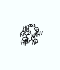 CC(F)(F)c1ccc(-c2cnc(NCC3(O)CCOC3)c3cccnc23)cc1.OC1(CNc2ncc(Br)c3ncccc23)CCOC1